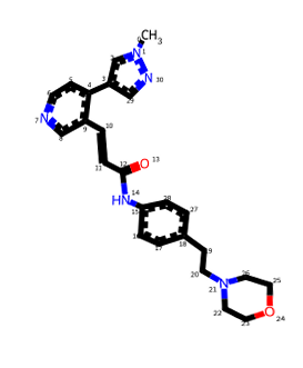 Cn1cc(-c2ccncc2C=CC(=O)Nc2ccc(CCN3CCOCC3)cc2)cn1